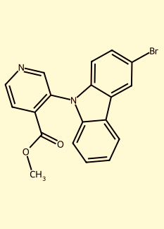 COC(=O)c1ccncc1-n1c2ccccc2c2cc(Br)ccc21